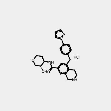 Cl.O=C(N[C@@H]1CCOC[C@H]1O)c1cc(Cc2ccc(-n3cccn3)cc2)c2c(n1)CNCC2